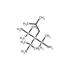 CC(C)C[Si]([N+](C)(C)N)([N+](C)(C)N)[N+](C)(C)N